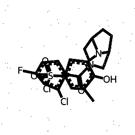 Cc1cc(S(=O)(=O)Cl)cc(N2C3CCC2CN(C(=O)c2ccc(F)cc2Cl)C3)c1O